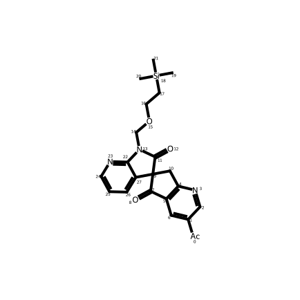 CC(=O)c1cnc2c(c1)C(=O)C1(C2)C(=O)N(COCC[Si](C)(C)C)c2ncccc21